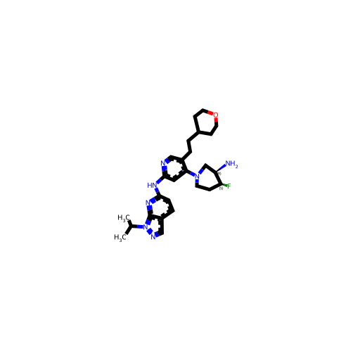 CC(C)n1ncc2ccc(Nc3cc(N4CC[C@H](F)[C@H](N)C4)c(CCC4CCOCC4)cn3)nc21